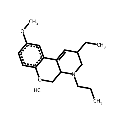 CCCN1CC(CC)C=C2c3cc(OC)ccc3OCC21.Cl